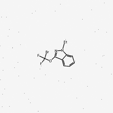 CCn1nc(OC(F)(F)Br)c2ccccc21